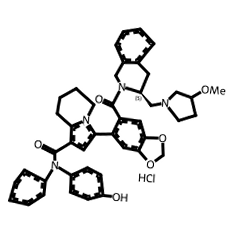 COC1CCN(C[C@@H]2Cc3ccccc3CN2C(=O)c2cc3c(cc2-c2cc(C(=O)N(c4ccccc4)c4ccc(O)cc4)c4n2CCCC4)OCO3)C1.Cl